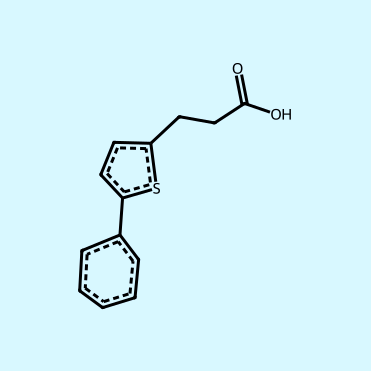 O=C(O)CCc1ccc(-c2ccccc2)s1